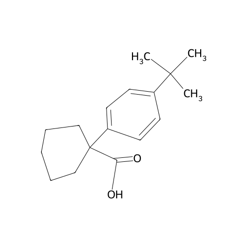 CC(C)(C)c1ccc(C2(C(=O)O)CCCCC2)cc1